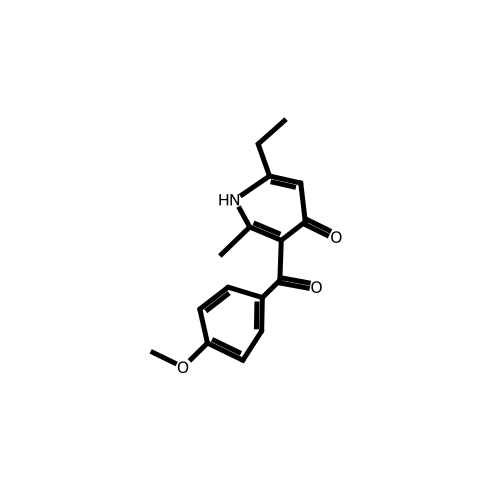 CCc1cc(=O)c(C(=O)c2ccc(OC)cc2)c(C)[nH]1